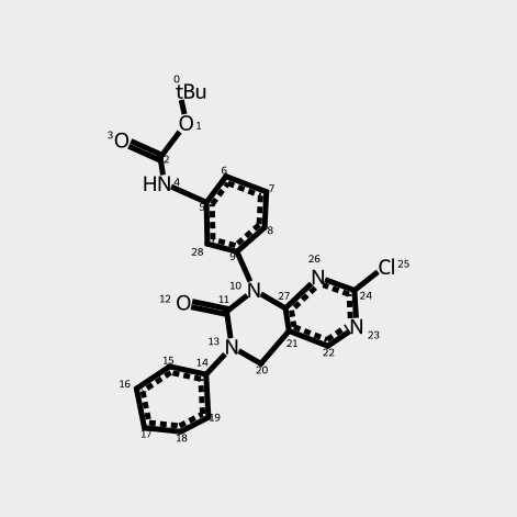 CC(C)(C)OC(=O)Nc1cccc(N2C(=O)N(c3ccccc3)Cc3cnc(Cl)nc32)c1